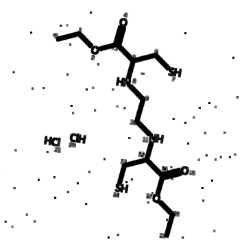 CCOC(=O)C(CS)NCCNC(CS)C(=O)OCC.Cl.Cl